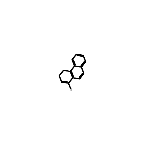 IC1=CCCc2c1ccc1ccccc21